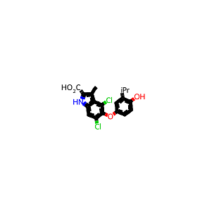 Cc1c(C(=O)O)[nH]c2cc(Cl)c(Oc3ccc(O)c(C(C)C)c3)c(Cl)c12